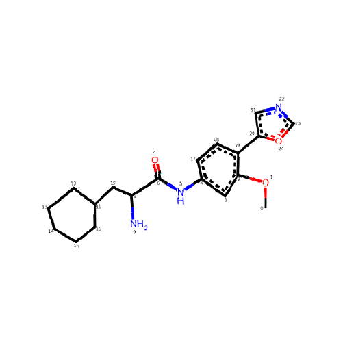 COc1cc(NC(=O)C(N)CC2CCCCC2)ccc1-c1cnco1